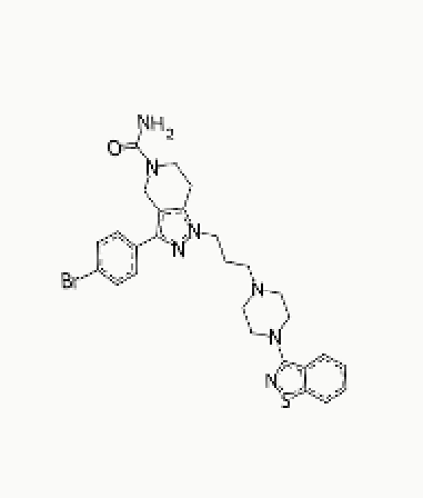 NC(=O)N1CCc2c(c(-c3ccc(Br)cc3)nn2CCCN2CCN(c3nsc4ccccc34)CC2)C1